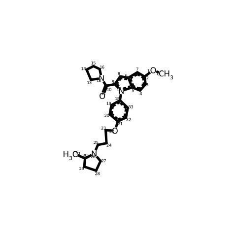 COc1ccc2c(c1)cc(C(=O)N1CCCC1)n2-c1ccc(OCCCN2CCCC2C)cc1